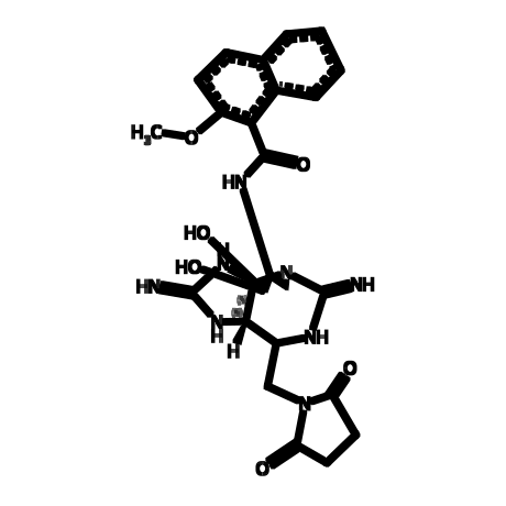 COc1ccc2ccccc2c1C(=O)NC1CN2C(=N)NC(CN3C(=O)CCC3=O)[C@@H]3NC(=N)N[C@@]32C1(O)O